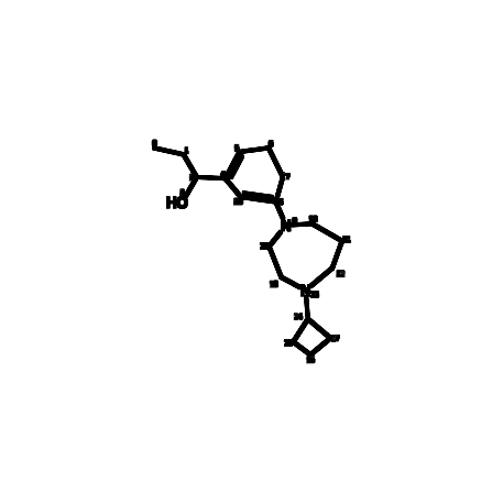 CCC(O)C1=CC[CH]C(N2CCCN(C3CCC3)CC2)=C1